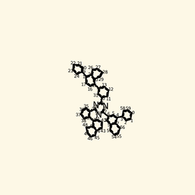 c1ccc(-c2cc(-c3nc(-c4cccc(-c5ccc(-c6ccccc6)c6ccccc56)c4)nc(-c4ccccc4-c4cccc5ccccc45)n3)cc3ccccc23)cc1